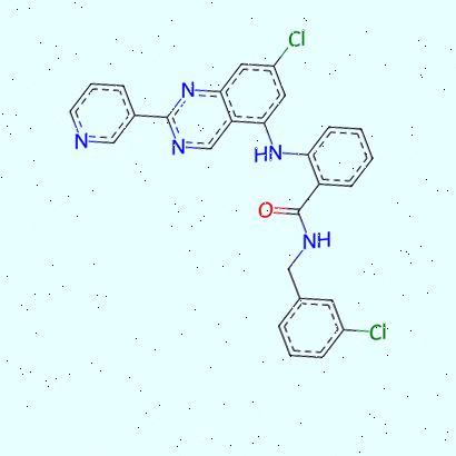 O=C(NCc1cccc(Cl)c1)c1ccccc1Nc1cc(Cl)cc2nc(-c3cccnc3)ncc12